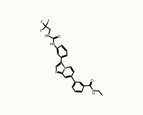 CCNC(=O)c1cccc(-c2ccn3c(-c4cccc(NC(=O)NCC(F)(F)F)c4)cnc3c2)c1